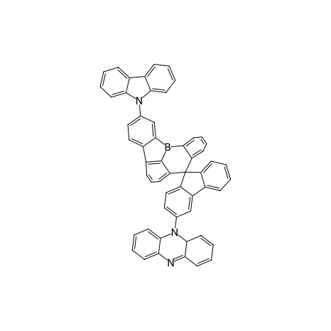 C1=CC2=Nc3ccccc3N(c3ccc4c(c3)-c3ccccc3C43c4ccccc4B4c5cc(-n6c7ccccc7c7ccccc76)ccc5-c5cccc3c54)C2C=C1